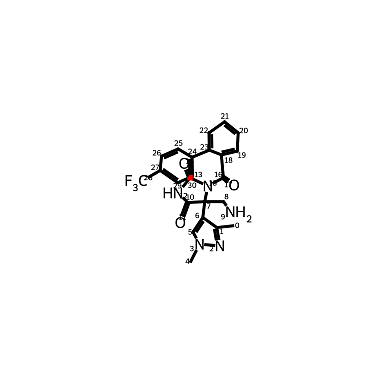 Cc1nn(C)cc1C1(CN)C(=O)NC(=O)N1C(=O)c1ccccc1-c1ccc(C(F)(F)F)cc1